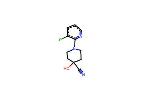 N#CC1(O)CCN(c2ncccc2F)CC1